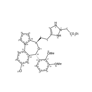 CCOC(=O)CN1NC=C(CC[C@H]2O[C@H](c3cccc(OC)c3OC)c3cc(Cl)ccc3-n3cccc32)N1